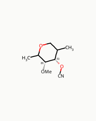 CO[C@@H]1C(C)OCC(C)[C@@H]1OC#N